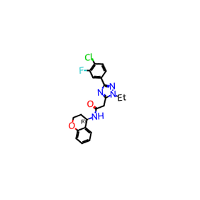 CCn1nc(-c2ccc(Cl)c(F)c2)nc1CC(=O)N[C@@H]1CCOc2ccccc21